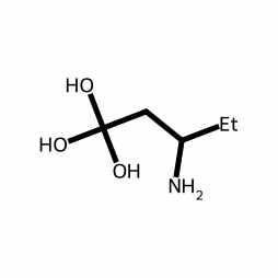 CCC(N)CC(O)(O)O